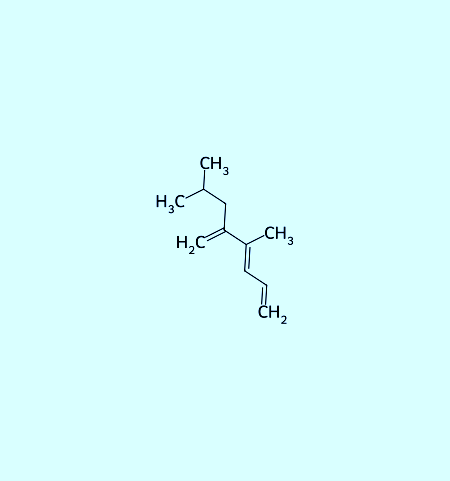 C=C/C=C(\C)C(=C)CC(C)C